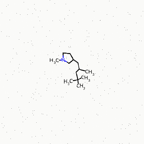 CC(CC1CCN(C)C1)CC(C)(C)C